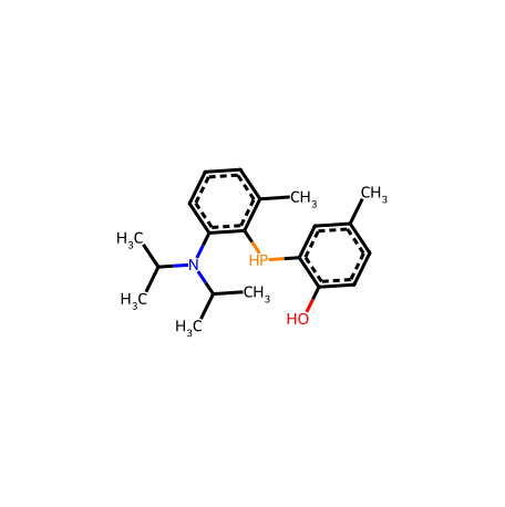 Cc1ccc(O)c(Pc2c(C)cccc2N(C(C)C)C(C)C)c1